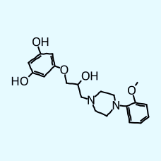 COc1ccccc1N1CCN(CC(O)COc2cc(O)cc(O)c2)CC1